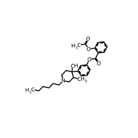 CCCCCCN1CCC(C)(c2cccc(OC(=O)c3ccccc3OC(C)=O)c2)C(C)C1